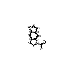 CC(=O)N1CCc2cc3sccc3cc21